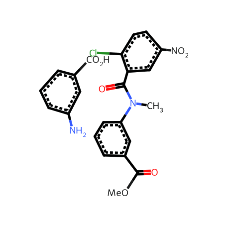 COC(=O)c1cccc(N(C)C(=O)c2cc([N+](=O)[O-])ccc2Cl)c1.Nc1cccc(C(=O)O)c1